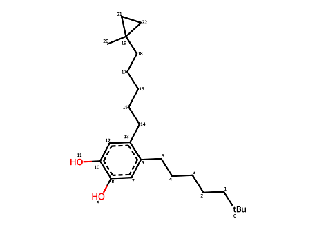 CC(C)(C)CCCCCc1cc(O)c(O)cc1CCCCCC1(C)CC1